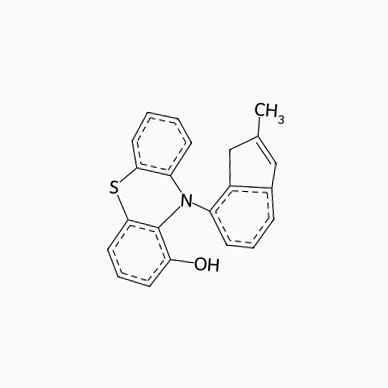 CC1=Cc2cccc(N3c4ccccc4Sc4cccc(O)c43)c2C1